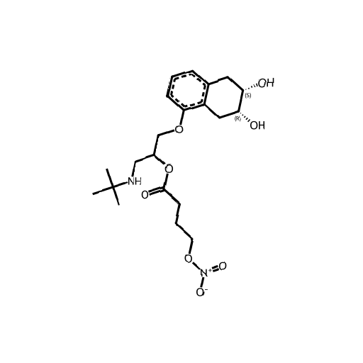 CC(C)(C)NCC(COc1cccc2c1C[C@@H](O)[C@@H](O)C2)OC(=O)CCCO[N+](=O)[O-]